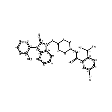 O=C(NC1CCC(Cn2c(=O)n(-c3ccccc3Cl)c3ncccc32)CC1)c1cc(Cl)cnc1C(F)F